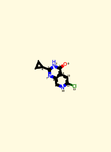 O=c1[nH]c(C2CC2)nc2cnc(Cl)cc12